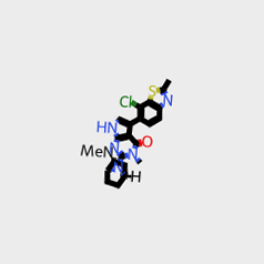 CN[C@@H]1C[C@@H]2CCC1N2c1nc2[nH]cc(-c3ccc4nc(C)sc4c3Cl)c2c(=O)n1C